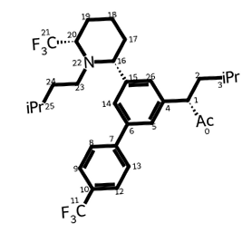 CC(=O)[C@@H](CC(C)C)c1cc(-c2ccc(C(F)(F)F)cc2)cc([C@H]2CCC[C@@H](C(F)(F)F)N2CCC(C)C)c1